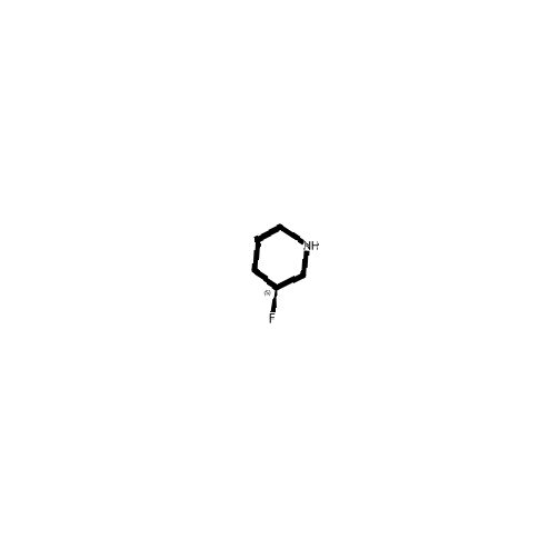 F[C@H]1CCCNC1